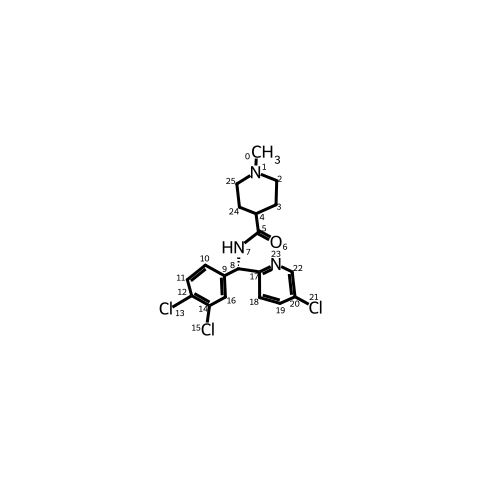 CN1CCC(C(=O)N[C@@H](c2ccc(Cl)c(Cl)c2)c2ccc(Cl)cn2)CC1